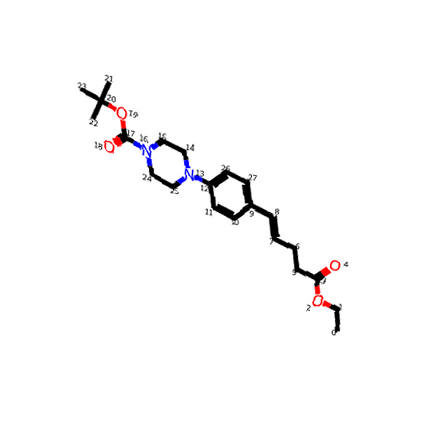 CCOC(=O)CCC=Cc1ccc(N2CCN(C(=O)OC(C)(C)C)CC2)cc1